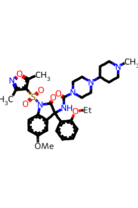 CCOc1ccccc1C1(NC(=O)N2CCN(C3CCN(C)CC3)CC2)C(=O)N(S(=O)(=O)c2c(C)noc2C)c2ccc(OC)cc21